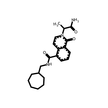 CC(C(N)=O)n1ccc2c(C(=O)NCC3CCCCCC3)cccc2c1=O